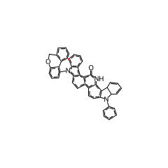 O=c1[nH]c2c3c(ccc2c2ccc4c(c5ccccc5n4-c4cccc5c4-c4ccccc4CO5)c12)N(c1ccccc1)C1C=CC=CC31